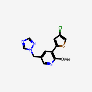 COc1ncc(Cn2cncn2)cc1-c1cc(Cl)cs1